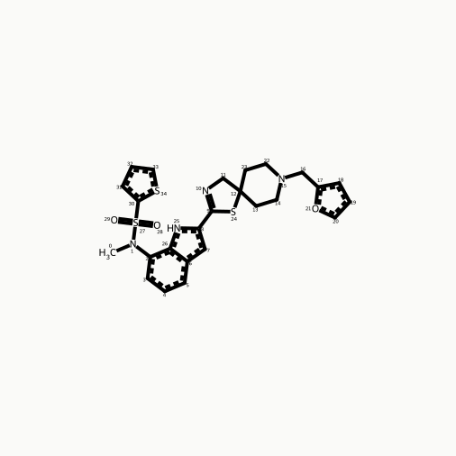 CN(c1cccc2cc(C3=NCC4(CCN(Cc5ccco5)CC4)S3)[nH]c12)S(=O)(=O)c1cccs1